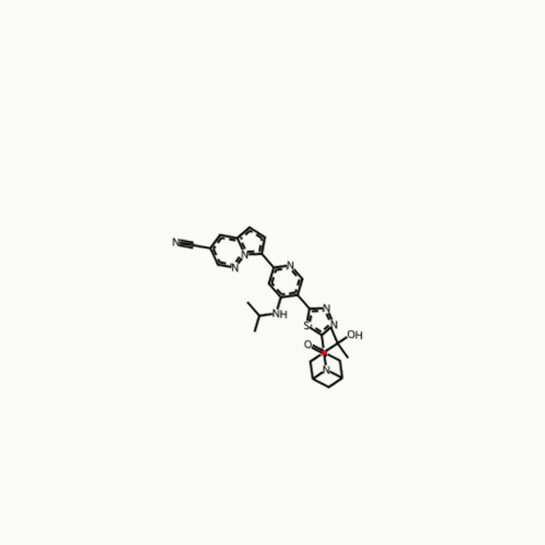 CC(C)Nc1cc(-c2ccc3cc(C#N)cnn23)ncc1-c1nnc(N2CC3CC(C2)N3C(=O)C(C)(C)O)s1